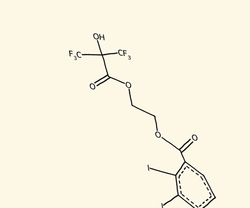 O=C(OCCOC(=O)C(O)(C(F)(F)F)C(F)(F)F)c1cccc(I)c1I